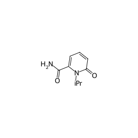 CC(C)n1c(C(N)=O)cccc1=O